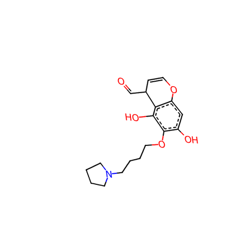 O=CC1C=COc2cc(O)c(OCCCCN3CCCC3)c(O)c21